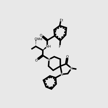 CCc1ccc(F)c(C(=O)N[C@@H](C(=O)N2CCC3(CC2)C(=O)N(C)CN3c2ccccc2)[C@H](C)OC)c1